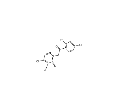 CCc1cc(Cl)ccc1C(=O)Cn1ncc(Cl)c(Cl)c1=O